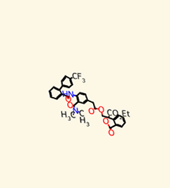 CCOC(=O)C1(COC(=O)Cc2ccc(NC(=O)c3ccccc3-c3ccc(C(F)(F)F)cc3)c(C(=O)N(C)C)c2)OC(=O)c2ccccc21